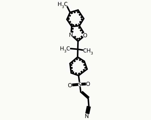 Cc1ccc2oc(C(C)(C)c3ccc(S(=O)(=O)C=CC#N)cc3)nc2c1